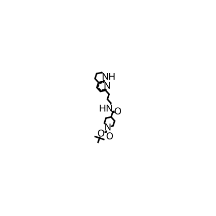 CC(C)(C)OC(=O)N1CCC(C(=O)NCCCc2ccc3c(n2)NCCC3)CC1